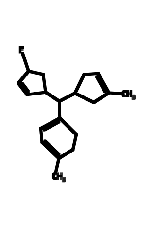 CC1=CC=C(C(C2C=CC(F)C2)C2CC=C(C)C2)CC1